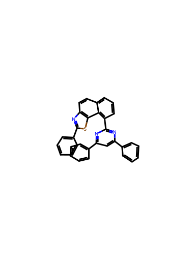 c1ccc(-c2cc(-c3ccccc3)nc(-c3cccc4ccc5nc(-c6ccccc6)sc5c34)n2)cc1